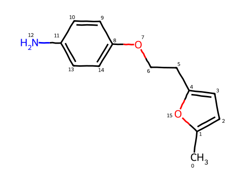 Cc1ccc(CCOc2ccc(N)cc2)o1